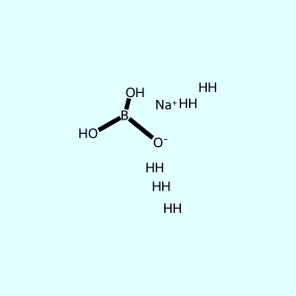 [HH].[HH].[HH].[HH].[HH].[Na+].[O-]B(O)O